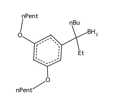 BC(CC)(CCCC)c1cc(OCCCCC)cc(OCCCCC)c1